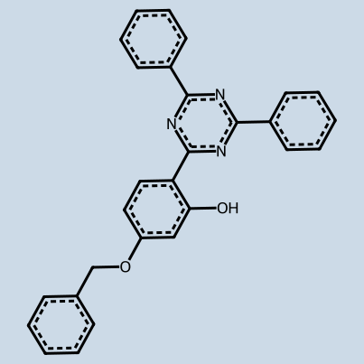 Oc1cc(OCc2ccccc2)ccc1-c1nc(-c2ccccc2)nc(-c2ccccc2)n1